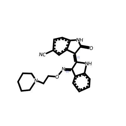 N#Cc1ccc2c(c1)/C(=C1/Nc3ccccc3/C1=N\OCCN1CCCCC1)C(=O)N2